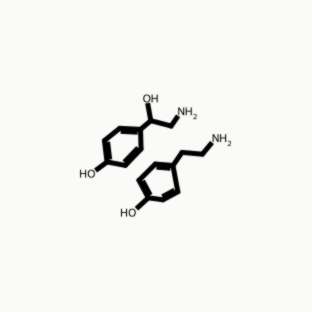 NCC(O)c1ccc(O)cc1.NCCc1ccc(O)cc1